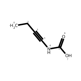 [CH2]CC#CNC(=O)O